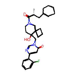 C[C@H](CC1CCCCC1)C(=O)N1CCC(O)(Cn2cnc(-c3ccccc3F)cc2=O)C2(CCC2)C1